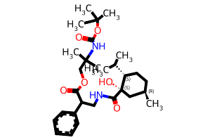 CC(C)[C@@H]1CC[C@@H](C)C[C@@]1(O)C(=O)NCC(C(=O)OCC(C)(C)NC(=O)OC(C)(C)C)c1ccccc1